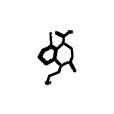 O=C1CCN(C(=O)O)c2c(F)cccc2N1CCO